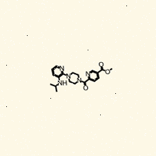 COC(=O)c1ccc(C(=O)N2CCN(c3ncccc3NC(C)C)CC2)nc1